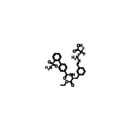 CCOC(=O)[C@H](Cc1cccc(C=NN)c1)NC(=O)c1ccc(-c2ccccc2S(N)(=O)=O)cc1.O=C(O)C(F)(F)F